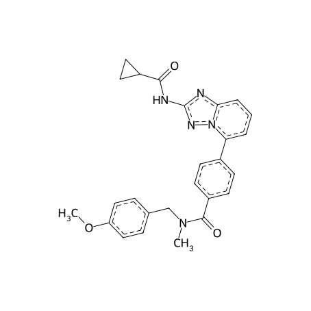 COc1ccc(CN(C)C(=O)c2ccc(-c3cccc4nc(NC(=O)C5CC5)nn34)cc2)cc1